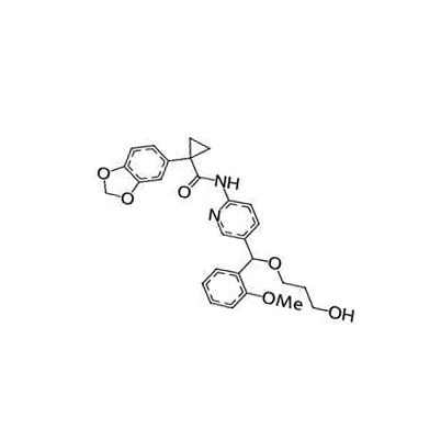 COc1ccccc1C(OCCCO)c1ccc(NC(=O)C2(c3ccc4c(c3)OCO4)CC2)nc1